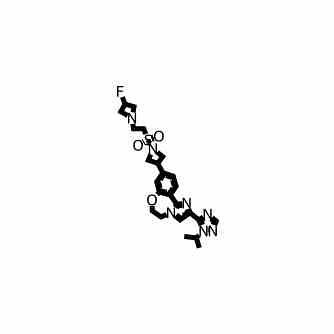 CC(C)n1ncnc1-c1cn2c(n1)-c1ccc(C3CN(S(=O)(=O)CCN4CC(F)C4)C3)cc1OCC2